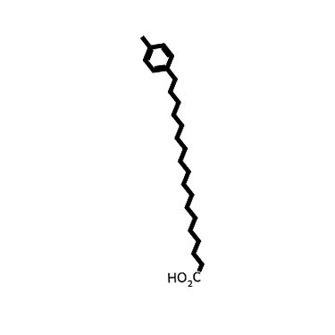 Cc1ccc(CCCCCCCCCCCCCCCCCC(=O)O)cc1